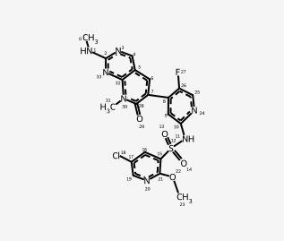 CNc1ncc2cc(-c3cc(NS(=O)(=O)c4cc(Cl)cnc4OC)ncc3F)c(=O)n(C)c2n1